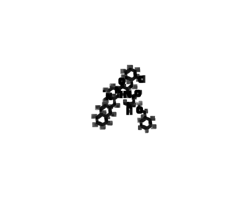 CN[C@@H](COCc1ccccc1)C(=O)N[C@H](Cc1ccccc1Cl)C(=O)N1CCN(C)[C@H](Cc2ccc3ccccc3c2)C1